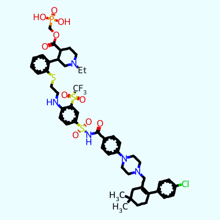 CCN1CCC(C(=O)OCP(=O)(O)O)C(c2ccccc2SCCNc2ccc(S(=O)(=O)NC(=O)c3ccc(N4CCN(CC5=C(c6ccc(Cl)cc6)CCC(C)(C)C5)CC4)cc3)cc2S(=O)(=O)C(F)(F)F)C1